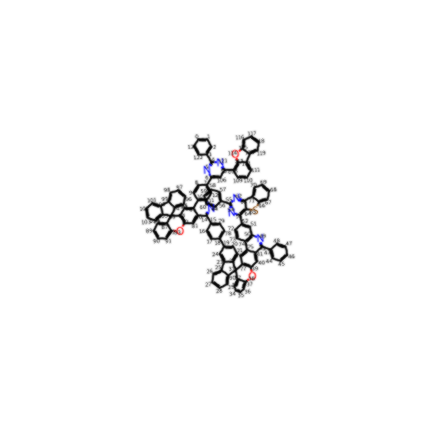 c1ccc(-c2nc(-c3ccc4c(c3)nc(-c3ccc(-c5ccc6c(c5)-c5ccccc5C65c6ccccc6Oc6cc7c(-c8ccccc8)nc8cc(-c9nc(-c%10ccccc%10)nc%10c9sc9ccccc9%10)ccc8c7cc65)cc3)c3cc5c(cc34)C3(c4ccccc4O5)c4ccccc4-c4ccccc43)cc(-c3cccc4c3oc3ccccc34)n2)cc1